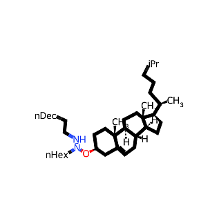 CCCCCCCCCCCCNN(CCCCCC)O[C@H]1CC[C@@]2(C)C(=CC[C@H]3[C@@H]4CC[C@H]([C@H](C)CCCC(C)C)[C@@]4(C)CC[C@@H]32)C1